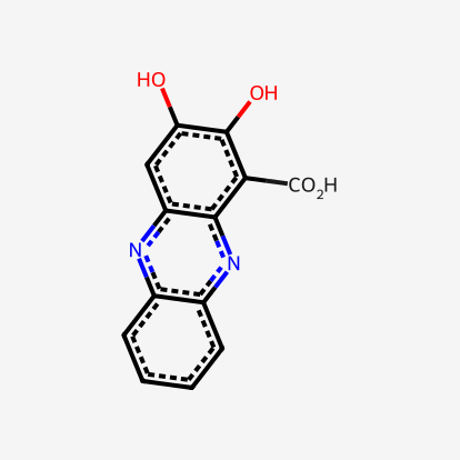 O=C(O)c1c(O)c(O)cc2nc3ccccc3nc12